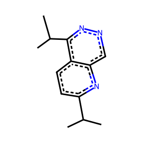 CC(C)c1ccc2c(C(C)C)nncc2n1